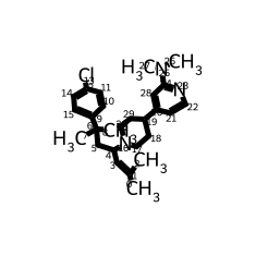 CC(C)=CC(CC(C)(C)c1ccc(Cl)cc1)N1CCC(c2ccnc(N(C)C)c2)CC1